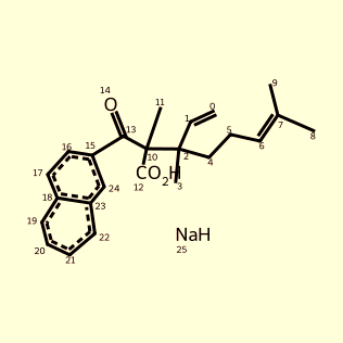 C=CC(C)(CCC=C(C)C)C(C)(C(=O)O)C(=O)c1ccc2ccccc2c1.[NaH]